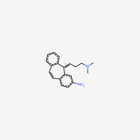 CN(C)CC/C=C1/c2ccccc2C=Cc2ccc(N)cc21